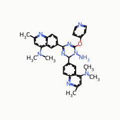 Cc1cc(N(C)C)c2cc(C3=NC(c4ccc5nc(C)cc(N(C)C)c5c4)N(N)C(Oc4ccncc4)=N3)ccc2n1